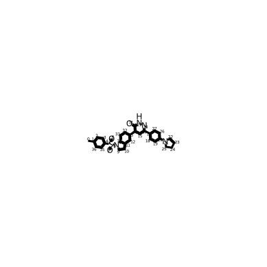 Cc1ccc(S(=O)(=O)n2ccc3cc(-c4cc(-c5ccc(N6C=CCC6)cc5)n[nH]c4=O)ccc32)cc1